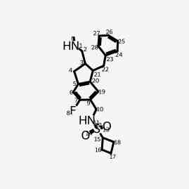 CNCC1Cc2cc(F)c(CNS(=O)(=O)C3CCC3)cc2C1Cc1ccccc1